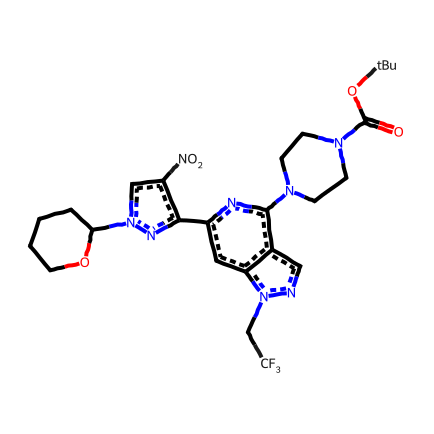 CC(C)(C)OC(=O)N1CCN(c2nc(-c3nn(C4CCCCO4)cc3[N+](=O)[O-])cc3c2cnn3CC(F)(F)F)CC1